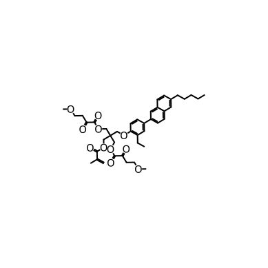 C=C(C)C(=O)OCC(COC(=O)C(=O)CCOC)(COC(=O)C(=O)CCOC)COc1ccc(-c2ccc3cc(CCCCC)ccc3c2)cc1CC